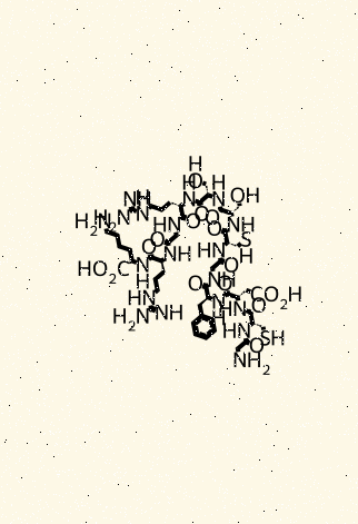 N=C(N)NCCC[C@H](NC(=O)CNC(=O)[C@H](CCCNC(=N)N)NC(=O)[C@H](CO)NC(=O)[C@H](CO)NC(=O)[C@H](CS)NC(=O)CNC(=O)[C@H](Cc1ccccc1)NC(=O)[C@H](CC(=O)O)NC(=O)[C@H](CS)NC(=O)CN)C(=O)N[C@@H](CCCCN)C(=O)O